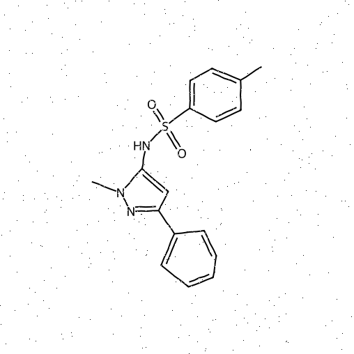 Cc1ccc(S(=O)(=O)Nc2cc(-c3ccccc3)nn2C)cc1